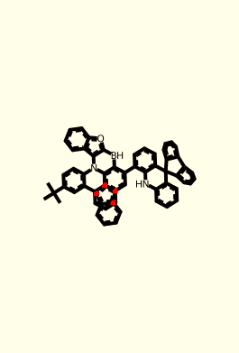 CC(C)(C)c1ccc(N2c3c(oc4ccccc34)Bc3c(-c4cccc5c4Nc4ccccc4C54c5ccccc5-c5ccccc54)cc4c(oc5ccccc54)c32)c(-c2ccccc2)c1